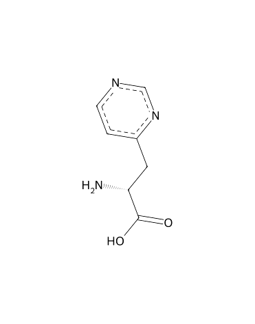 N[C@H](Cc1ccncn1)C(=O)O